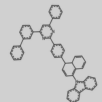 C1=CC2=C(n3c4ccccc4c4ccccc43)C=CC(c3ccc(-c4nc(-c5ccccc5)cc(-c5cccc(-c6ccccc6)c5)n4)cc3)C2C=C1